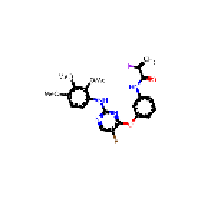 C=C(I)C(=O)Nc1cccc(Oc2nc(Nc3ccc(OC)c(OC)c3OC)ncc2Br)c1